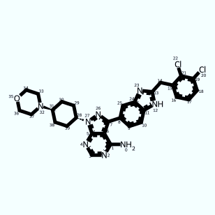 Nc1ncnc2c1c(-c1ccc3[nH]c(Cc4cccc(Cl)c4Cl)nc3c1)nn2[C@H]1CC[C@H](N2CCOCC2)CC1